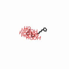 OCC1O[C@@H](OCCCCCC2CCCCC2)[C@@H](O)C(O)[C@@H]1O[C@H]1OC(CO)[C@@H](O)[C@H](O)C1O